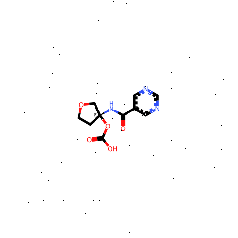 O=C(O)O[C@]1(NC(=O)c2cncnc2)CCOC1